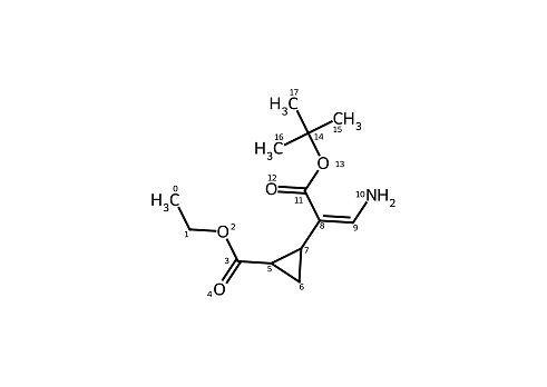 CCOC(=O)C1CC1C(=CN)C(=O)OC(C)(C)C